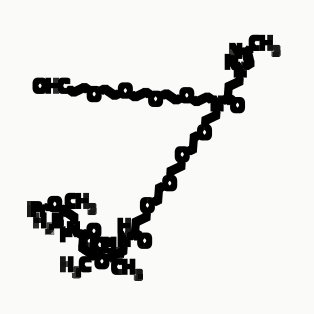 BC(C)(CN(I)C(=O)CC(C)(C)OC(C)(C)CNC(=O)CCOCCOCCOCCOCCN(CCOCCOCCOCCOCCC=O)C(=O)CCn1cc(C)nn1)OC(C)C